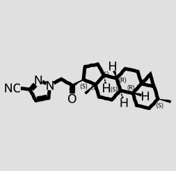 C[C@H]1CC[C@@H]2[C@H]3CC[C@]4(C)[C@@H](C(=O)Cn5ccc(C#N)n5)CC[C@H]4[C@@H]3CCC23CC13